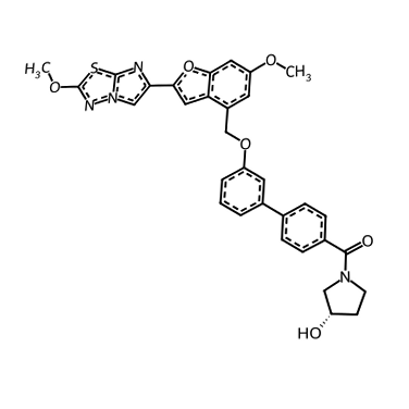 COc1cc(COc2cccc(-c3ccc(C(=O)N4CC[C@H](O)C4)cc3)c2)c2cc(-c3cn4nc(OC)sc4n3)oc2c1